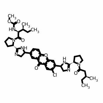 CC[C@H](C)CC(=O)N1CCC[C@H]1C1=NCC(c2cc3oc4ccc(C5CN=C([C@@H]6CCCN6C(=O)[C@@H](NC(=O)OC)[C@@H](C)CC)N5)cc4c(=O)c3cc2Cl)N1